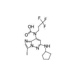 O=C(O)N(CCC(F)(F)F)c1cc(NC2CCCC2)nn2c(I)cnc12